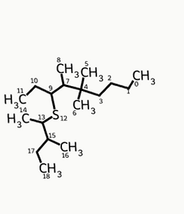 CCCCC(C)(C)C(C)C(CC)SC(C)C(C)CC